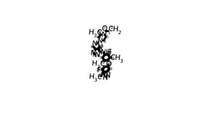 C=CC(=O)N1CCN(c2ncc3ncnc(Nc4ccc(Oc5cc6nnn(C)c6c(F)c5C)c(C)c4F)c3n2)C[C@H]1C